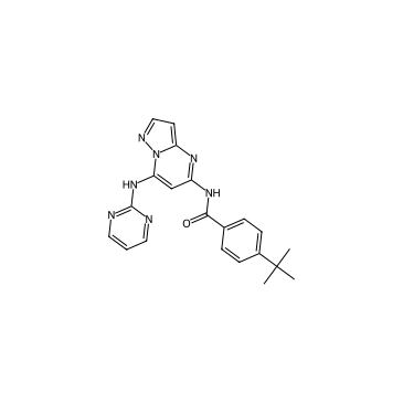 CC(C)(C)c1ccc(C(=O)Nc2cc(Nc3ncccn3)n3nccc3n2)cc1